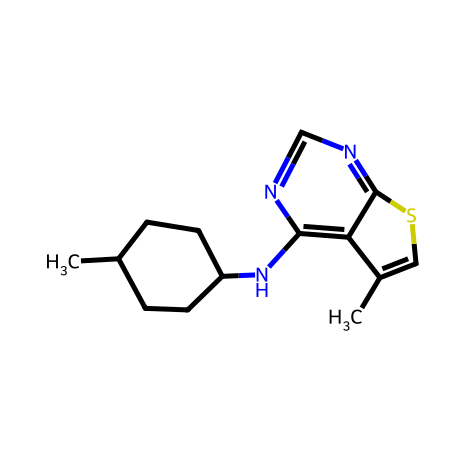 Cc1csc2ncnc(NC3CCC(C)CC3)c12